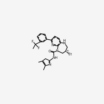 CC[C@@H]1CNc2ccc(-c3cccc(C(C)(F)F)c3)nc2N(C(=O)NC2=NC(C)=C(C)C2)C1